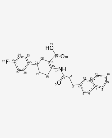 O=C(CCc1ccc2ccccc2c1)NC1=C(C(=O)O)CC(c2ccc(F)cc2)CC1